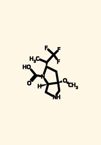 CO[C@]12CNC[C@H]1N(C(=O)O)[C@H](C(C)C(F)(F)F)C2